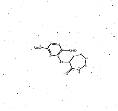 COc1ccc(C=O)c(OC2CCCCNC2=O)c1